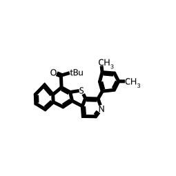 Cc1cc(C)cc(-c2nccc3c2sc2c(C(=O)C(C)(C)C)c4ccccc4cc23)c1